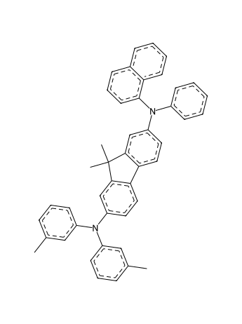 Cc1cccc(N(c2cccc(C)c2)c2ccc3c(c2)C(C)(C)c2cc(N(c4ccccc4)c4cccc5ccccc45)ccc2-3)c1